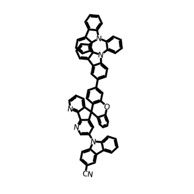 N#Cc1ccc2c(c1)c1ccccc1n2-c1cnc2c(c1)C1(c3ccccc3Oc3cc(-c4ccc5c(c4)c4ccccc4n5-c4ccccc4-n4c5ccccc5c5ccccc54)ccc31)c1cccnc1-2